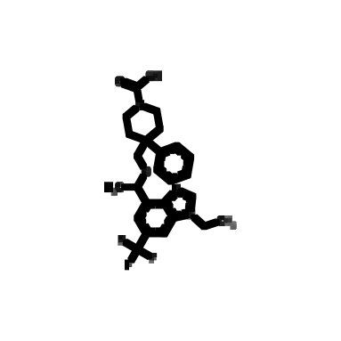 CCn1cnc2c(C(C)OCC3(c4ccccc4)CCN(C(=O)O)CC3)cc(C(F)(F)F)cc21